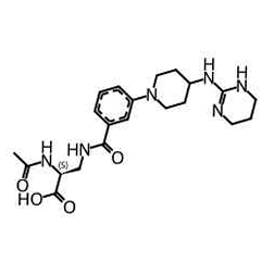 CC(=O)N[C@@H](CNC(=O)c1cccc(N2CCC(NC3=NCCCN3)CC2)c1)C(=O)O